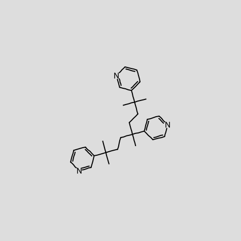 CC(C)(CCC(C)(CCC(C)(C)c1cccnc1)c1ccncc1)c1cccnc1